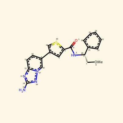 COC[C@H](NC(=O)c1cc(-c2ccc3nc(N)nn3c2)cs1)c1ccccc1